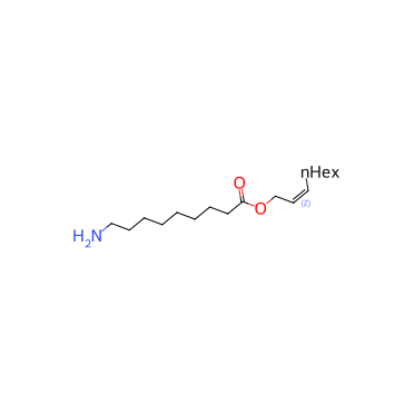 CCCCCC/C=C\COC(=O)CCCCCCCCN